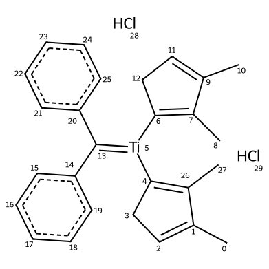 CC1=CC[C]([Ti]([C]2=C(C)C(C)=CC2)=[C](c2ccccc2)c2ccccc2)=C1C.Cl.Cl